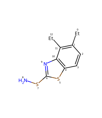 CCc1ccc2sc(SN)nc2c1CC